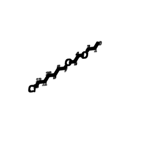 CCCOCCOCCCCCCCl